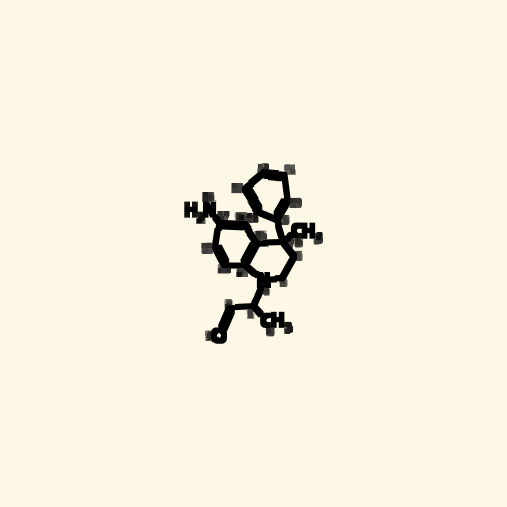 CC(C=O)N1CCC(C)(c2ccccc2)c2cc(N)ccc21